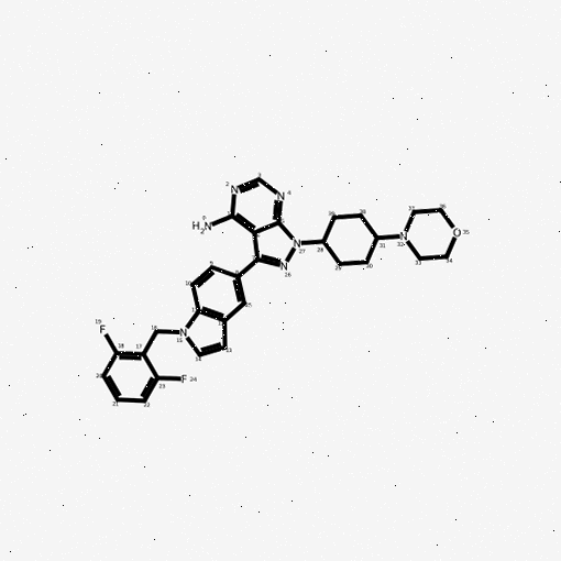 Nc1ncnc2c1c(-c1ccc3c(ccn3Cc3c(F)cccc3F)c1)nn2C1CCC(N2CCOCC2)CC1